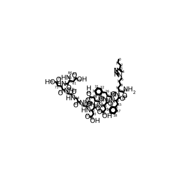 CCCc1cn(CCCCC(NC(=O)C(Cc2ccccc2)NC(=O)C(Cc2ccccc2)NC(=O)C(CC(=O)O)NC(=O)C(CC(=O)O)NC(=O)C(CC(=O)O)NC(=O)CNC(=O)CNC(=O)CNC(=O)C(CC(=O)O)NC(=O)C(CC(=O)O)NC)C(N)=O)nn1